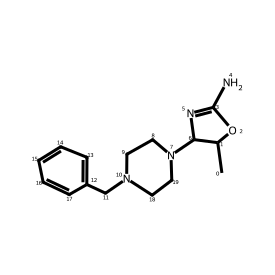 CC1OC(N)=NC1N1CCN(Cc2ccccc2)CC1